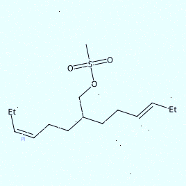 CCC=CCCC(CC/C=C\CC)COS(C)(=O)=O